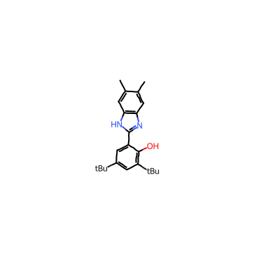 Cc1cc2nc(-c3cc(C(C)(C)C)cc(C(C)(C)C)c3O)[nH]c2cc1C